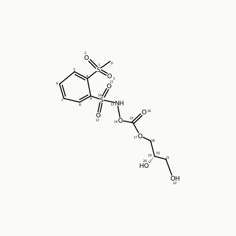 CS(=O)(=O)c1ccccc1S(=O)(=O)NOC(=O)OC[C@@H](O)CO